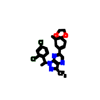 CC(c1ccc(Cl)cc1Cl)n1nc(C(F)(F)F)c2ncc(C3=CCC4(OCCO4)C(C)C3)nc21